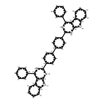 c1ccc(-c2nc(-c3ccc(-c4ccc(-c5nc(-c6ccccc6)c6c(n5)oc5ccccc56)cc4)cc3)nc3oc4ccccc4c23)cc1